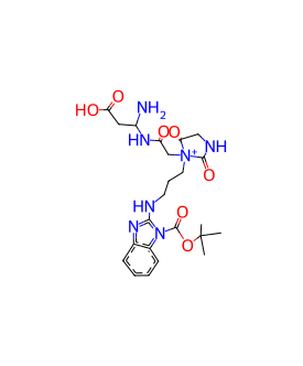 CC(C)(C)OC(=O)n1c(NCCC[N+]2(CC(=O)NC(N)CC(=O)O)C(=O)CNC2=O)nc2ccccc21